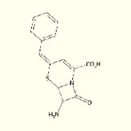 NC1C(=O)N2C(C(=O)O)=CC(=Cc3ccccc3)SC12